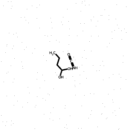 CCCC(O)O.N=C=O